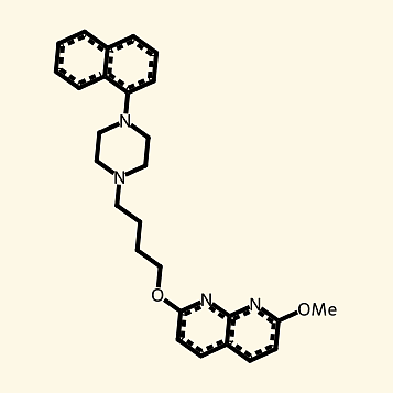 COc1ccc2ccc(OCCCCN3CCN(c4cccc5ccccc45)CC3)nc2n1